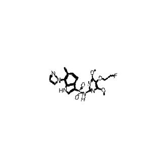 COc1nc(NS(=O)(=O)c2c[nH]c3c(-n4cccn4)c(C)ccc23)nc(OC)c1OCCF